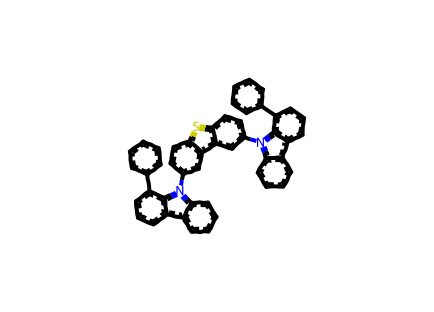 c1ccc(-c2cccc3c4ccccc4n(-c4ccc5sc6ccc(-n7c8ccccc8c8cccc(-c9ccccc9)c87)cc6c5c4)c23)cc1